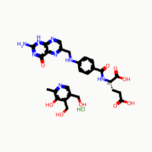 Cc1ncc(CO)c(CO)c1O.Cl.Nc1nc(=O)c2nc(CNc3ccc(C(=O)N[C@@H](CCC(=O)O)C(=O)O)cc3)cnc2[nH]1